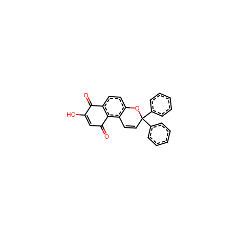 O=C1C(O)=CC(=O)c2c1ccc1c2C=CC(c2ccccc2)(c2ccccc2)O1